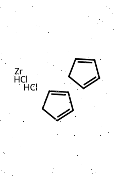 C1=CCC=C1.C1=CCC=C1.Cl.Cl.[Zr]